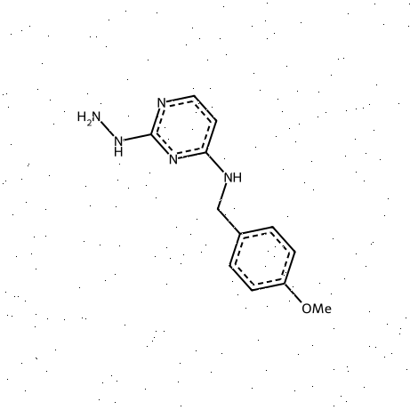 COc1ccc(CNc2ccnc(NN)n2)cc1